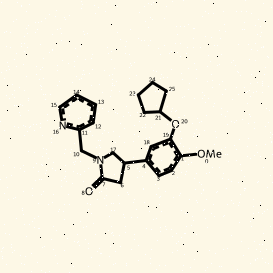 COc1ccc(C2CC(=O)N(Cc3ccccn3)C2)cc1OC1CCCC1